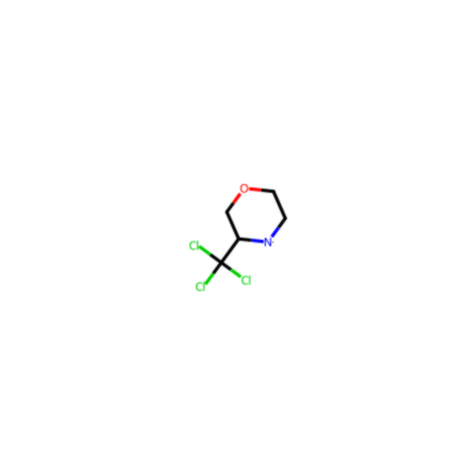 ClC(Cl)(Cl)C1COCC[N]1